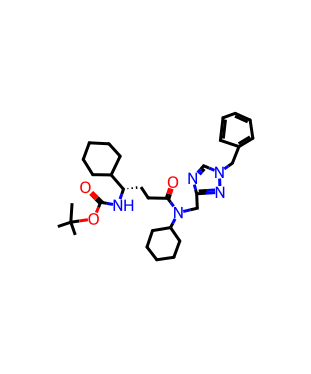 CC(C)(C)OC(=O)N[C@@H](CCC(=O)N(Cc1ncn(Cc2ccccc2)n1)C1CCCCC1)C1CCCCC1